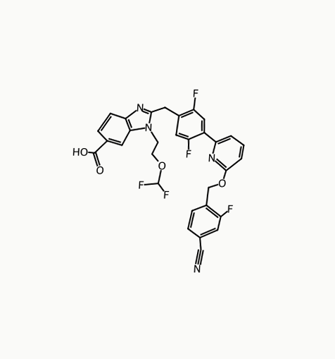 N#Cc1ccc(COc2cccc(-c3cc(F)c(Cc4nc5ccc(C(=O)O)cc5n4CCOC(F)F)cc3F)n2)c(F)c1